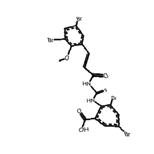 COc1c(Br)cc(Br)cc1/C=C/C(=O)NC(=S)Nc1c(Br)cc(Br)cc1C(=O)O